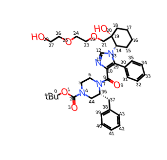 CC(C)(C)OC(=O)N1CCN(C(=O)c2ncn([C@H]3CCCC[C@]3(O)COCCOCCO)c2-c2ccccc2)[C@H](Cc2ccccc2)C1